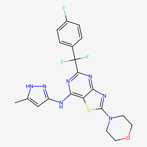 Cc1cc(Nc2nc(C(F)(F)c3ccc(F)cc3)nc3nc(N4CCOCC4)sc23)n[nH]1